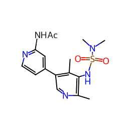 CC(=O)Nc1cc(-c2cnc(C)c(NS(=O)(=O)N(C)C)c2C)ccn1